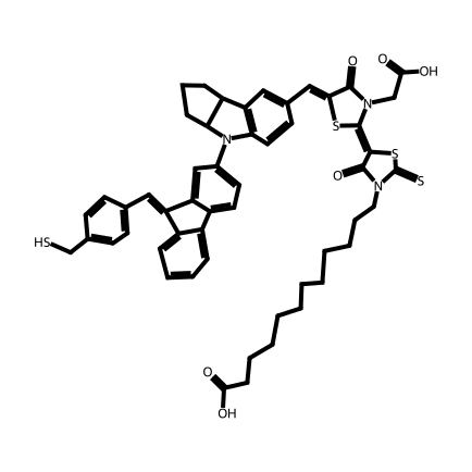 O=C(O)CCCCCCCCCCCN1C(=O)/C(=c2\s/c(=C\c3ccc4c(c3)C3CCCC3N4c3ccc4c(c3)/C(=C/c3ccc(CS)cc3)c3ccccc3-4)c(=O)n2CC(=O)O)SC1=S